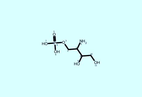 NC(COP(=O)(O)O)C(O)CO